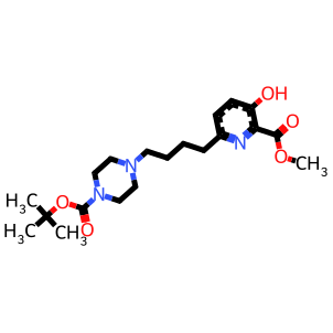 COC(=O)c1nc(CCCCN2CCN(C(=O)OC(C)(C)C)CC2)ccc1O